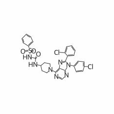 O=C(NC1CCN(c2ncnc3c2nc(-c2ccccc2Cl)n3-c2ccc(Cl)cc2)CC1)NS(=O)(=O)c1ccccc1